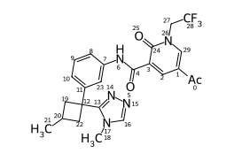 CC(=O)c1cc(C(=O)Nc2cccc(C3(c4nncn4C)CC(C)C3)c2)c(=O)n(CC(F)(F)F)c1